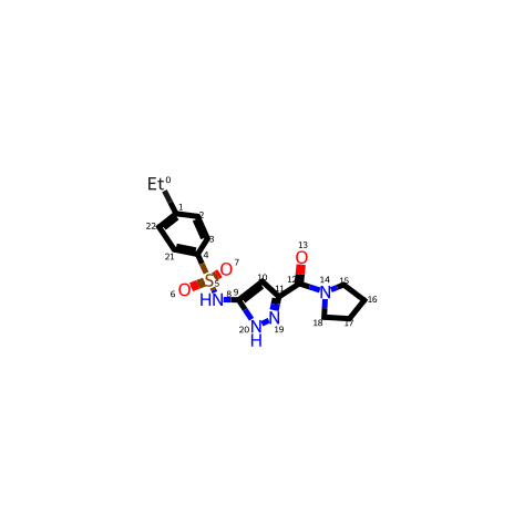 CCc1ccc(S(=O)(=O)Nc2cc(C(=O)N3CCCC3)n[nH]2)cc1